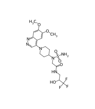 COc1cc2nncc(N3CCC(N(CC(=O)NCC(O)C(F)(F)F)S(N)(=O)=O)CC3)c2cc1OC